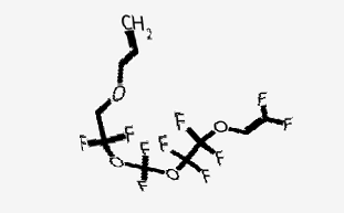 C=CCOCC(F)(F)OC(F)(F)OC(F)(F)C(F)(F)OC=C(F)F